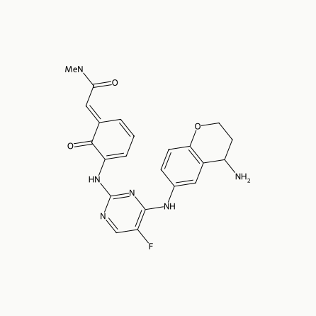 CNC(=O)C=C1C=CC=C(Nc2ncc(F)c(Nc3ccc4c(c3)C(N)CCO4)n2)C1=O